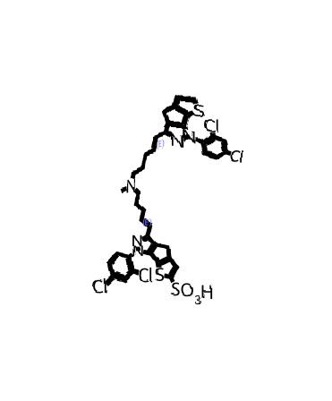 CN(CCC/C=C/c1nn(-c2ccc(Cl)cc2Cl)c2c1Cc1ccsc1-2)CCC/C=C/c1nn(-c2ccc(Cl)cc2Cl)c2c1Cc1cc(S(=O)(=O)O)sc1-2